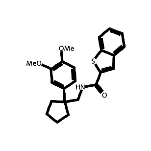 COc1ccc(C2(CNC(=O)c3cc4ccccc4s3)CCCC2)cc1OC